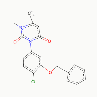 Cn1c(C(F)(F)F)cc(=O)n(-c2ccc(Cl)c(OCc3ccccc3)c2)c1=O